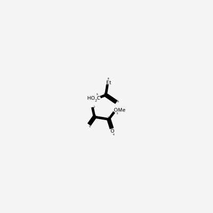 C=C(C)C(=O)OC.C=C(CC)C(=O)O